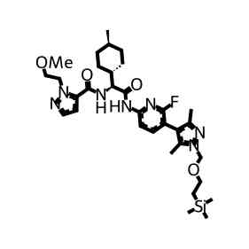 COCCn1nccc1C(=O)N[C@H](C(=O)Nc1ccc(-c2c(C)nn(COCC[Si](C)(C)C)c2C)c(F)n1)[C@H]1CC[C@H](C)CC1